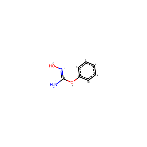 NC(=NO)Oc1ccccc1